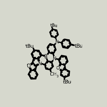 Cc1cc2c3c(c1)-n1c4c(cc(C(C)(C)C)cc4c4oc5ccccc5c41)B3c1ccc(N(c3ccc(C(C)(C)C)cc3)c3ccc(C(C)(C)C)cc3)cc1N2c1cccc2c1oc1cc(C(C)(C)C)ccc12